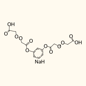 O=C(O)COOCC(=O)Oc1cccc(OC(=O)COOCC(=O)O)c1.[NaH]